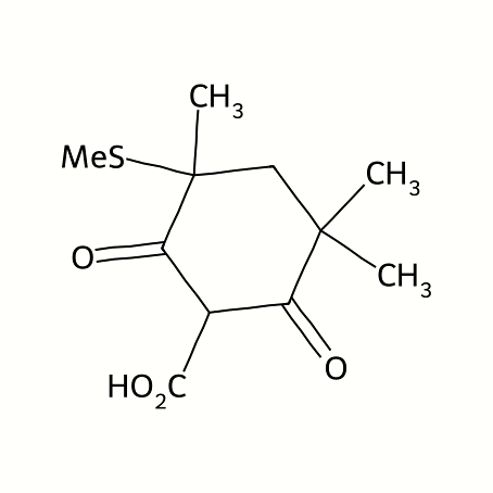 CSC1(C)CC(C)(C)C(=O)C(C(=O)O)C1=O